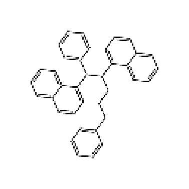 c1ccc(CCC[C](c2cccc3ccccc23)C(c2ccccc2)c2cccc3ccccc23)cc1